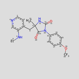 CCNc1cnccc1CC1(C)NC(=O)N(c2ccc(OC(F)(F)F)cc2)C1=O